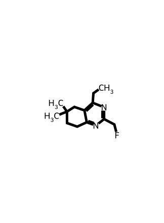 CCc1nc(CF)nc2c1CC(C)(C)CC2